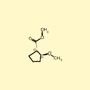 COC(=O)[C@H]1CCC[C@@H]1OC